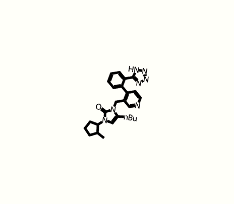 CCCCc1cn(C2CCCC2C)c(=O)n1Cc1cnccc1-c1ccccc1-c1nnn[nH]1